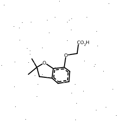 CC1(C)Cc2cccc(OCC(=O)O)c2O1